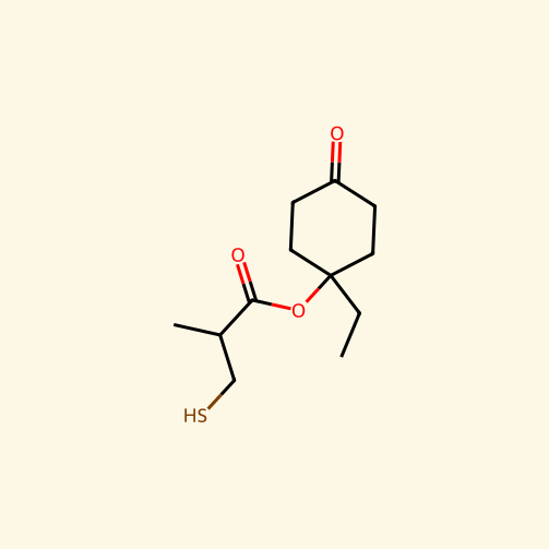 CCC1(OC(=O)C(C)CS)CCC(=O)CC1